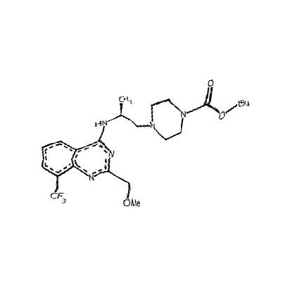 COCc1nc(N[C@@H](C)CN2CCN(C(=O)OC(C)(C)C)CC2)c2cccc(C(F)(F)F)c2n1